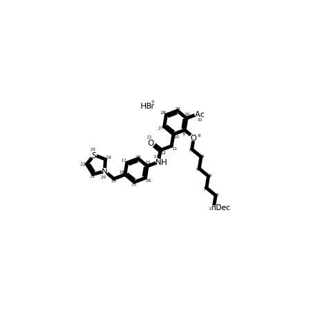 Br.CCCCCCCCCCCCCCCCOc1c(CC(=O)Nc2ccc(CN3C=CSC3)cc2)cccc1C(C)=O